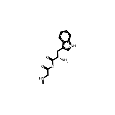 CNCC(=O)OC(=O)[C@@H](N)Cc1c[nH]c2ccccc12